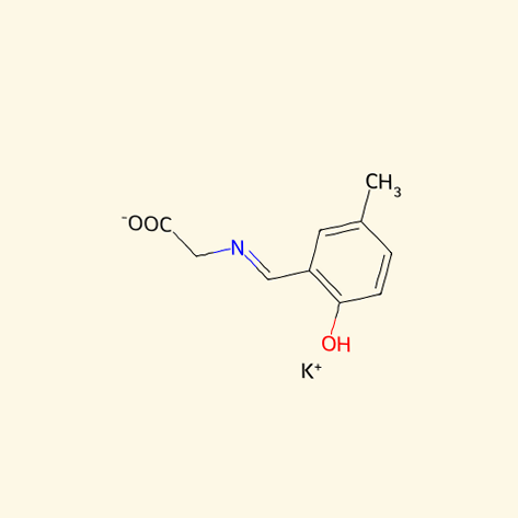 Cc1ccc(O)c(C=NCC(=O)[O-])c1.[K+]